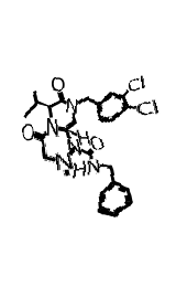 CC(C)[C@H]1C(=O)N(Cc2ccc(Cl)c(Cl)c2)C[C@H]2N1C(=O)CN(C)N2C(=O)NCc1ccccc1